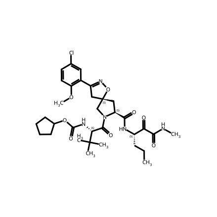 CCC[C@H](NC(=O)[C@@H]1C[C@]2(CC(c3cc(Cl)ccc3OC)=NO2)CN1C(=O)[C@@H](NC(=O)OC1CCCC1)C(C)(C)C)C(=O)C(=O)NC